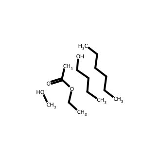 CCCCCC.CCCCO.CCOC(C)=O.CO